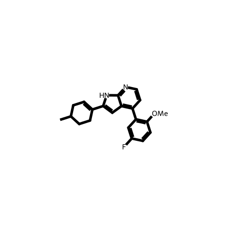 COc1ccc(F)cc1-c1ccnc2[nH]c(C3=CCC(C)CC3)cc12